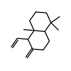 C=CC1C(=C)CCC2C(C)(C)CCCC12C